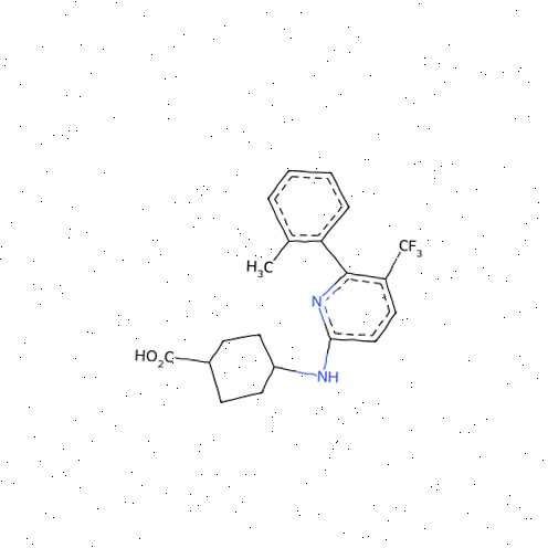 Cc1ccccc1-c1nc(NC2CCC(C(=O)O)CC2)ccc1C(F)(F)F